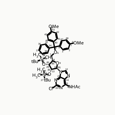 COc1ccc(C(OC[C@H]2O[C@@H](n3cnc4c(NC(C)=O)nc(Cl)nc43)[C@H](O[Si](C)(C)C(C)(C)C)[C@@H]2O[Si](C)(C)C(C)(C)C)(c2ccccc2)c2ccc(OC)cc2)cc1